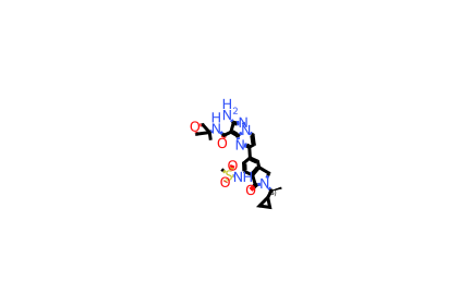 C[C@@H](C1CC1)N1Cc2cc(-c3ccn4nc(N)c(C(=O)NC5(C)COC5)c4n3)cc(NS(C)(=O)=O)c2C1=O